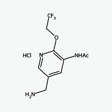 CC(=O)Nc1cc(CN)cnc1OCC(F)(F)F.Cl